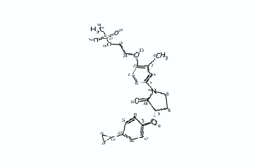 Cc1cc(N2CC[C@H](Oc3ccc(C4CC4)cc3)C2=O)ccc1OCCOS(C)(=O)=O